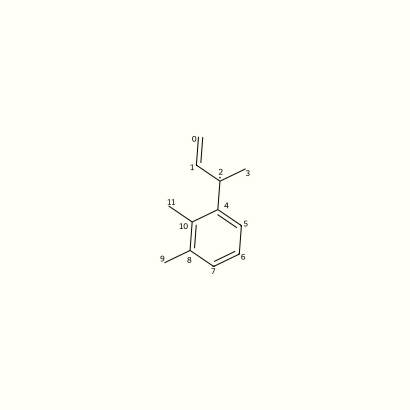 C=C[C](C)c1cccc(C)c1C